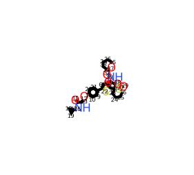 O=C(C[C@]1(c2ccc(-c3ccc(OCC(=O)NC4CC4)cc3)s2)CCCCS1(=O)=O)NOC1CCCCO1